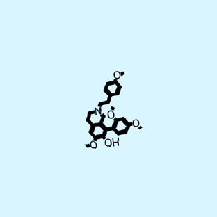 COc1ccc(CCN2CCc3cc(OC)c(O)c(-c4ccc(OC)cc4OC)c3C2)cc1